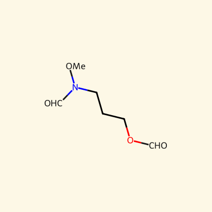 CON(C=O)CCCOC=O